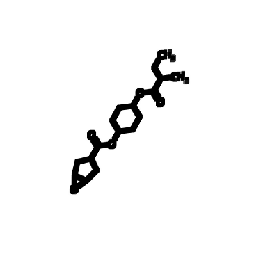 CCC(C)C(=O)OC1CCC(OC(=O)C2CC3OC3C2)CC1